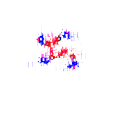 C[n+]1cn([C@@H]2O[C@H](COP(=O)(O)OP(=O)(O)O[P@@](=O)(S)OC[C@H]3O[C@@H](n4cnc5c(N)ncnc54)[C@@H](O)C3OP(=O)(O)OC[C@H]3O[C@@H](n4cnc5c(=O)[nH]c(N)nc54)[C@@H](O)C3OP(=O)(O)OC[C@H]3C[C@@H](n4cnc5c(=O)[nH]c(N)nc54)[C@@H](O)C3O)C(O)[C@@H]2O)c2nc(N)[nH]c(=O)c21